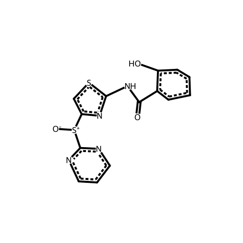 O=C(Nc1nc([S+]([O-])c2ncccn2)cs1)c1ccccc1O